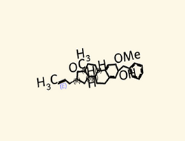 C/C=C/C[C@@H]1C[C@H]2[C@@H]3CCC4=CC(O)(Cc5ccccc5)C(OC)C=C4[C@H]3CC[C@]2(C)C1=O